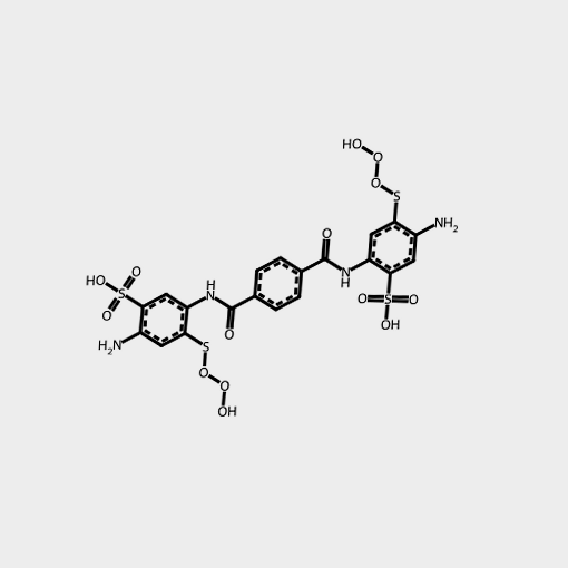 Nc1cc(S(=O)(=O)O)c(NC(=O)c2ccc(C(=O)Nc3cc(S(=O)(=O)O)c(N)cc3SOOO)cc2)cc1SOOO